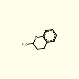 CC1CCc2[c]cccc2O1